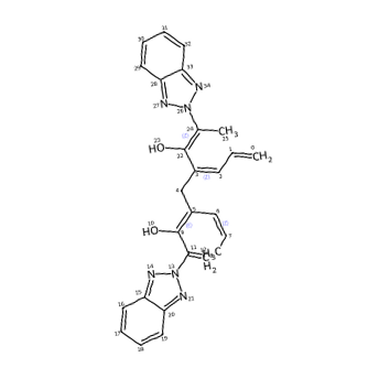 C=C/C=C(CC(/C=C\C)=C(\O)C(=C)n1nc2ccccc2n1)\C(O)=C(/C)n1nc2ccccc2n1